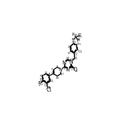 O=c1nc(N2CC=C(c3ccc(F)c(Cl)c3)CC2)ncn1Cc1ccc(SC(F)(F)F)cc1